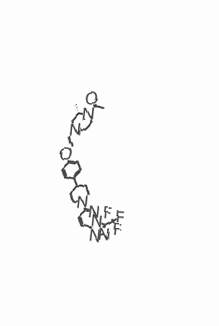 CC(=O)N1CCN(CCOc2ccc(C3CCN(c4ccc5nnc(C(F)(F)F)n5n4)CC3)cc2)C[C@@H]1C